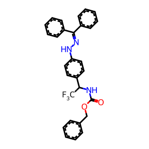 O=C(NC(c1ccc(NN=C(c2ccccc2)c2ccccc2)cc1)C(F)(F)F)OCc1ccccc1